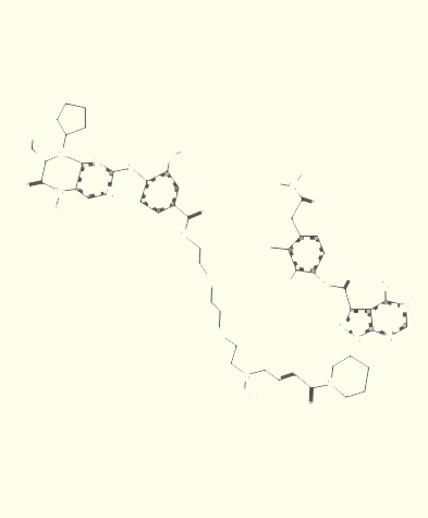 CC[C@@H]1C(=O)N(C)c2cnc(Nc3ccc(C(=O)NCCOCCOCCN(C)C/C=C/C(=O)N4CCC[C@@H](n5nc(C(=O)Nc6ccc(CC(=O)N(C)C)c(C)c6C)c6c(N)ncnc65)C4)cc3OC)nc2N1C1CCCC1